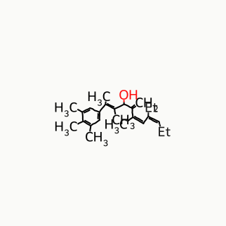 C=C(/C(C)=C\C(=C/CC)CC)C(O)/C(C)=C(\C)c1cc(C)c(C)c(C)c1